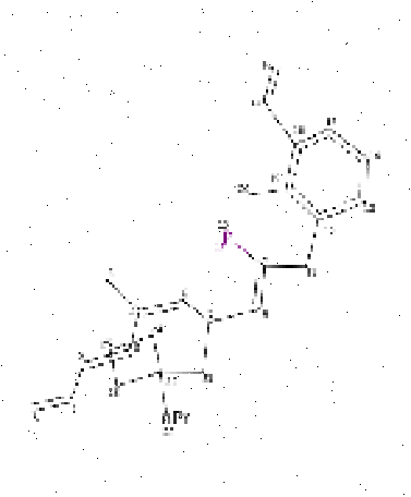 C=C/C=C/C(C)=C\C(/C=C(\P)Cc1cccc(C=C)c1C)CC1(CCC)CCC1